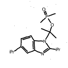 CC(C)c1ccc2c(c1)nc(C(C)C)n2C(C)(C)OP(C)(C)=O